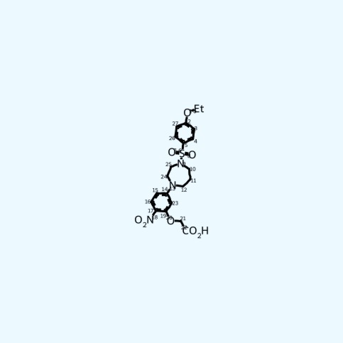 CCOc1ccc(S(=O)(=O)N2CCCN(c3ccc([N+](=O)[O-])c(OCC(=O)O)c3)CC2)cc1